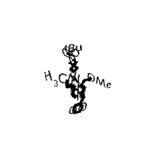 COCCC1CN(CC2COCCO2)CCN1c1cc(C)n(C2CC3(C2)CN(C(=O)OC(C)(C)C)C3)n1